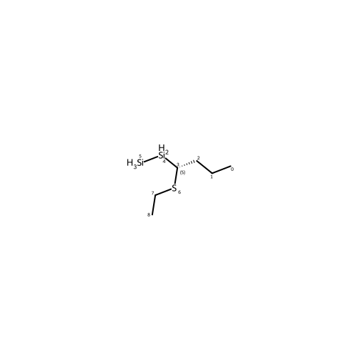 CCC[C@@H]([SiH2][SiH3])SCC